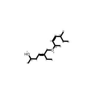 CC/C(=C\CC(C)O)COC(C)/C=C\C(C)CC